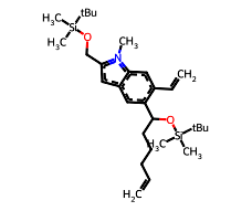 C=CCCCC(O[Si](C)(C)C(C)(C)C)c1cc2cc(CO[Si](C)(C)C(C)(C)C)n(C)c2cc1C=C